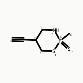 C#CC1CNP(C)(=S)SC1